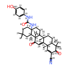 CC1(C)CC[C@]2(NC(=O)Nc3ccc(O)cc3)CC[C@]3(C)[C@H](C(=O)C=C4[C@@]5(C)C=C(C#N)C(=O)C(C)(C)[C@@H]5CC[C@]43C)[C@H]2C1